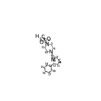 CS(=O)(=O)N1CCN(C2C3SCC(c4ccccc4)[N@@]32)CC1